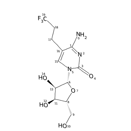 Nc1nc(=O)n([C@@H]2O[C@H](CO)[C@@H](O)[C@H]2O)cc1CCC(F)(F)F